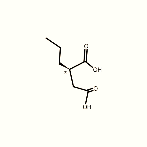 CCC[C@H](CC(=O)O)C(=O)O